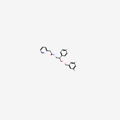 O=C(Cc1ccccn1)NCC(COCc1cc(C(F)(F)F)cc(C(F)(F)F)c1)c1ccc(F)cc1